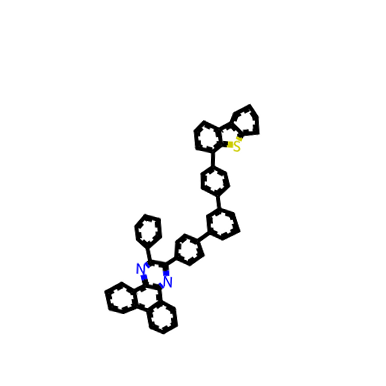 c1ccc(-c2nc3c4ccccc4c4ccccc4c3nc2-c2ccc(-c3cccc(-c4ccc(-c5cccc6c5sc5ccccc56)cc4)c3)cc2)cc1